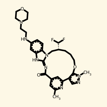 Cc1cc2cc(n1)-c1cnn(C)c1OCCC[C@@H](C(F)F)CN1/C(=N/C2=O)Nc2cc(NCCN3CCOCC3)ccc21